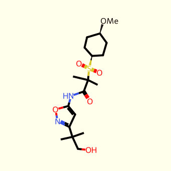 CO[C@H]1CC[C@@H](S(=O)(=O)C(C)(C)C(=O)Nc2cc(C(C)(C)CO)no2)CC1